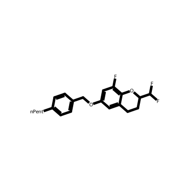 CCCCCc1ccc(COc2cc(F)c3c(c2)CCC(C(F)F)O3)cc1